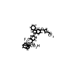 O=C(NC1(C(=O)O)C2CC3CC(C2)CC1C3)c1cnc(N2CC3(CCCCC3)c3cc(OC4CN(CC(F)(F)F)C4)ccc32)nc1C(F)(F)F